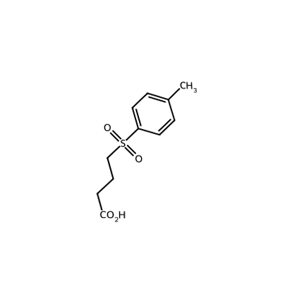 Cc1ccc(S(=O)(=O)CCCC(=O)O)cc1